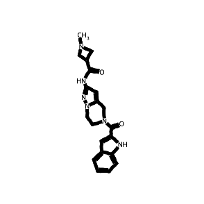 CN1CC(C(=O)Nc2cc3n(n2)CCN(C(=O)c2cc4ccccc4[nH]2)C3)C1